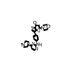 CN1CCN(c2ccnc(Nc3ccc(-c4csc5c(=O)cc(N6CCOCC6)oc45)cc3)n2)CC1